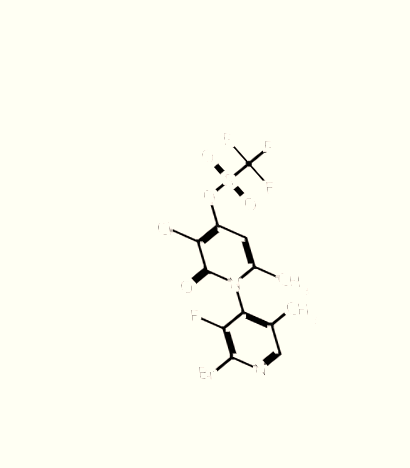 Cc1cnc(Br)c(F)c1-n1c(C)cc(OS(=O)(=O)C(F)(F)F)c(Cl)c1=O